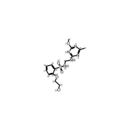 COc1nc(C)nc(NCNS(=O)(=O)c2ccccc2OCCCl)n1